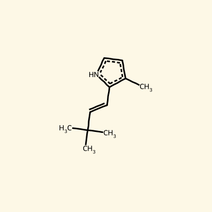 Cc1cc[nH]c1/C=C/C(C)(C)C